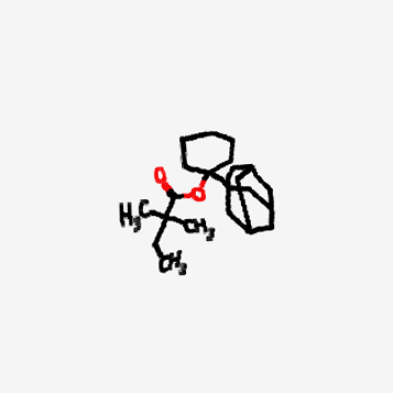 CCC(C)(C)C(=O)OC1(C23CC4CC(CC(C4)C2)C3)CCCCC1